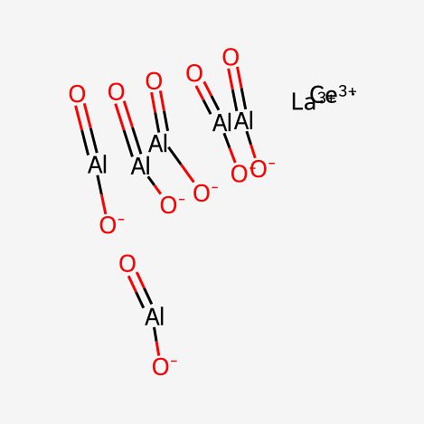 [Ce+3].[La+3].[O]=[Al][O-].[O]=[Al][O-].[O]=[Al][O-].[O]=[Al][O-].[O]=[Al][O-].[O]=[Al][O-]